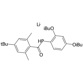 Cc1cc(C(C)(C)C)cc(C)c1C(=O)Pc1ccc(OCC(C)C)cc1OCC(C)C.[Li]